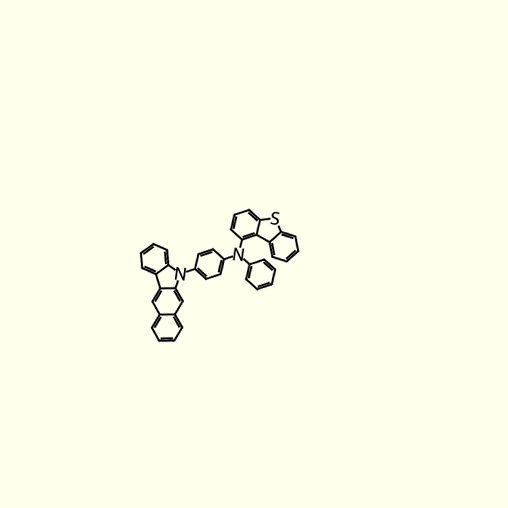 c1ccc(N(c2ccc(-n3c4ccccc4c4cc5ccccc5cc43)cc2)c2cccc3sc4ccccc4c23)cc1